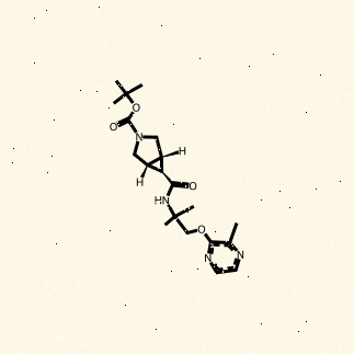 Cc1nccnc1OCC(C)(C)NC(=O)[C@H]1[C@@H]2CN(C(=O)OC(C)(C)C)C[C@@H]21